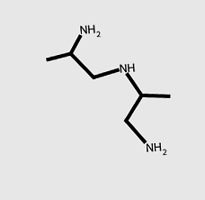 CC(N)CNC(C)CN